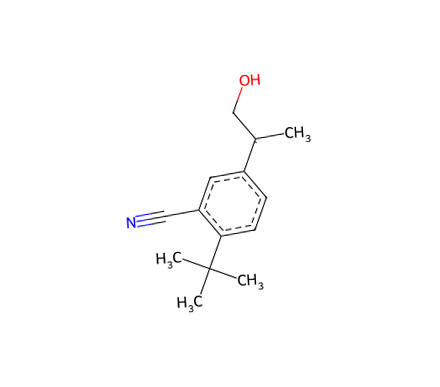 C[C](CO)c1ccc(C(C)(C)C)c(C#N)c1